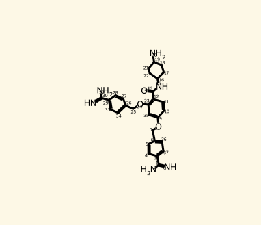 N=C(N)c1ccc(COc2ccc(C(=O)NC3CCC(N)CC3)c(OCc3ccc(C(=N)N)cc3)c2)cc1